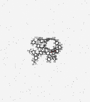 CC(C)(C)c1ccc2c(c1)c1cc(C(C)(C)C)ccc1n2-c1ccc2c(c1)N(c1ccc(-c3ccccc3)cc1)c1cc3cc4c1B2c1ccc([Si](c2ccccc2)(c2ccccc2)c2ccccc2)cc1N4c1cccc(c1)[Si](c1ccccc1)(c1ccccc1)c1cccc(c1)C(C)(C)c1ccc2c(c1)c1cc(C(C)(C)C)ccc1n2-3